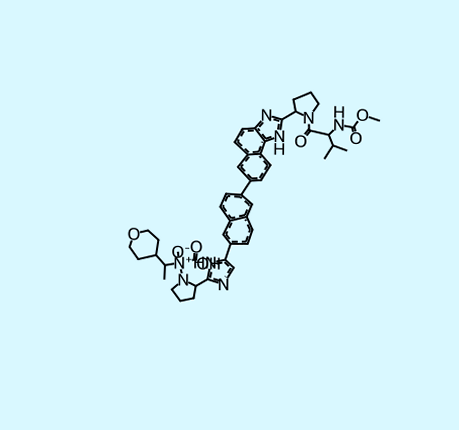 COC(=O)NC(C(=O)N1CCCC1c1nc2ccc3cc(-c4ccc5cc(-c6cnc(C7CCCN7[N+]([O-])(C(=O)O)C(C)C7CCOCC7)[nH]6)ccc5c4)ccc3c2[nH]1)C(C)C